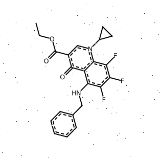 CCOC(=O)c1cn(C2CC2)c2c(F)c(F)c(F)c(NCc3ccccc3)c2c1=O